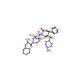 CC(CC1CCCCC1)C(=O)N1CCC(O)(Cn2cc(C(=O)N3CCN(C)CC3)c(-c3ccccc3)cc2=O)C(C)(C)C1